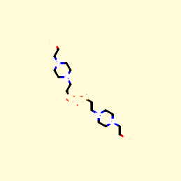 O=S(=O)(CCN1CCN(CCO)CC1)OS(=O)(=O)CCN1CCN(CCO)CC1